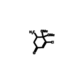 COC1(OC)C(Cl)=CC(=O)CC1C